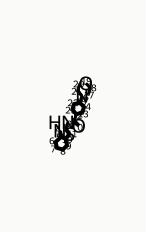 O=C(Nc1nc2ccccc2s1)c1ccc(N2CCOCC2)cc1